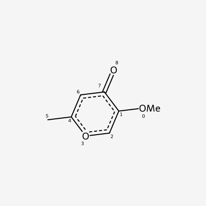 COc1coc(C)cc1=O